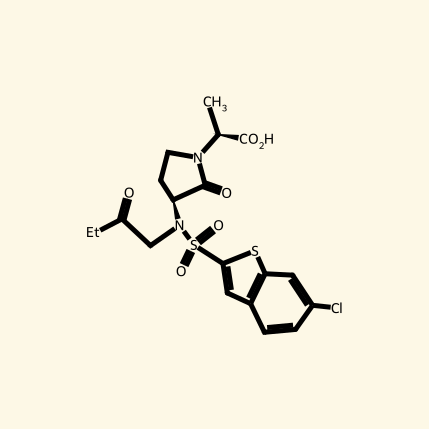 CCC(=O)CN([C@H]1CCN([C@@H](C)C(=O)O)C1=O)S(=O)(=O)c1cc2ccc(Cl)cc2s1